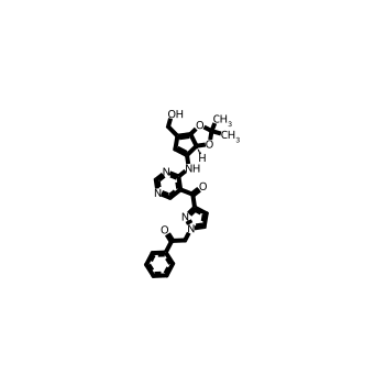 CC1(C)OC2=C(CO)C=C(Nc3ncncc3C(=O)c3ccn(CC(=O)c4ccccc4)n3)[C@@H]2O1